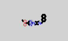 CCOC(=O)c1cnc(N2CC3CN(Cc4ccc5ccccc5c4)CC3C2)nc1